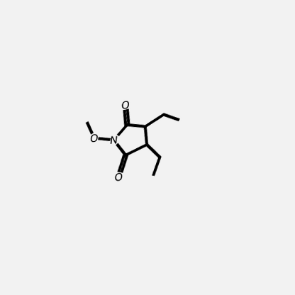 CCC1C(=O)N(OC)C(=O)C1CC